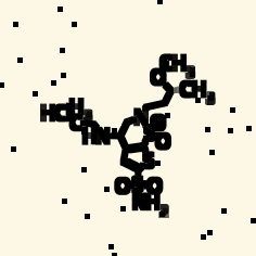 CCNC1CN(CC[C@@H](C)OC)S(=O)(=O)c2sc(S(N)(=O)=O)cc21.Cl